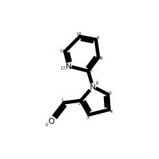 O=Cc1cccn1-c1ccccn1